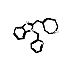 c1ccc(Cn2c(CC3CCCNCC3)nc3ccccc32)nc1